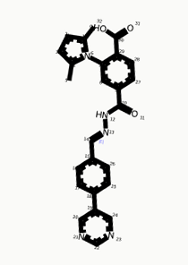 Cc1ccc(C)n1-c1cc(C(=O)N/N=C/c2ccc(-c3cncnc3)cc2)ccc1C(=O)O